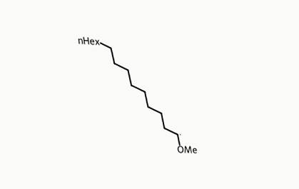 CCCCCCCCCCCCCC[CH]OC